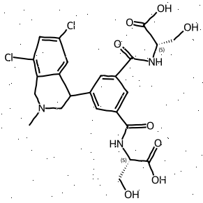 CN1Cc2c(Cl)cc(Cl)cc2C(c2cc(C(=O)N[C@@H](CO)C(=O)O)cc(C(=O)N[C@@H](CO)C(=O)O)c2)C1